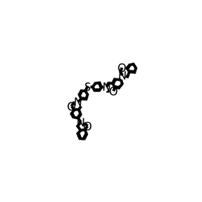 C1=CC2CN(C3=CC4CN(C5=CCC(SC6C=CC(N7COC8=CCC(N9COC%10=CCCC=C%10C9)C=C8C7)=CC6)C=C5)COC4C=C3)COC2C=C1